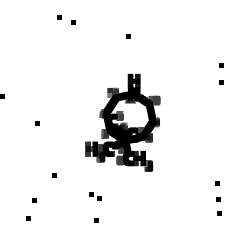 CC1(C)CC2CCCC1CCNC2